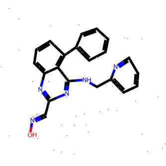 O/N=C/c1nc(NCc2ccccn2)c2c(-c3ccccc3)cccc2n1